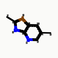 Cc1cnc2nc(C)sc2c1